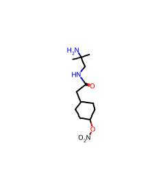 CC(C)(N)CNC(=O)CC1CCC(O[N+](=O)[O-])CC1